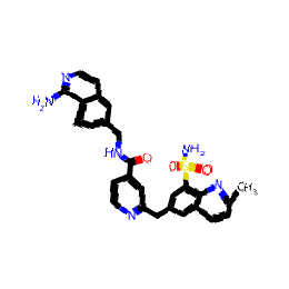 Cc1ccc2cc(Cc3cc(C(=O)NCc4ccc5c(N)nccc5c4)ccn3)cc(S(N)(=O)=O)c2n1